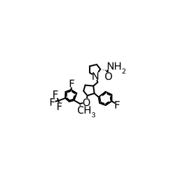 C[C@@H](OC1CCC(CN2CCC[C@@H]2C(N)=O)C1c1ccc(F)cc1)c1cc(F)cc(C(F)(F)F)c1